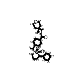 CC(c1ccc(C(=O)N2CC3(CCOCC3)C2)cc1)N1CCCC(c2ccccc2)S1(=O)=O